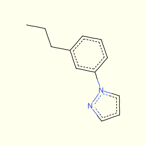 CCCc1cccc(-n2cccn2)c1